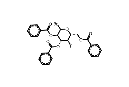 O=C(OC[C@H]1OC(Br)[C@H](OC(=O)c2ccccc2)[C@@H](OC(=O)c2ccccc2)[C@@H]1F)c1ccccc1